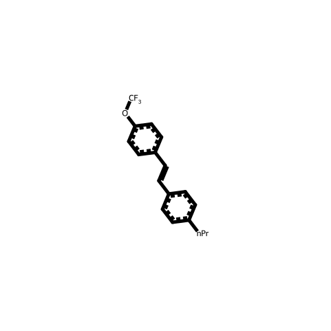 CCCc1ccc(C=Cc2ccc(OC(F)(F)F)cc2)cc1